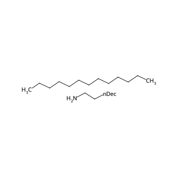 CCCCCCCCCCCCC.CCCCCCCCCCCCN